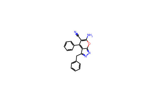 N#Cc1c(N)oc2nnc(Cc3ccccc3)c-2c1-c1ccccc1